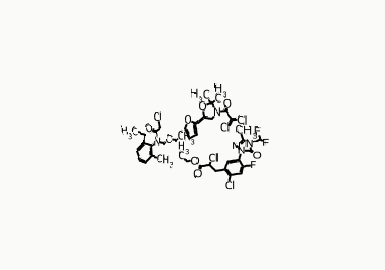 CC1(C)OC(c2ccco2)CN1C(=O)C(Cl)Cl.CCOC(=O)C(Cl)Cc1cc(-n2nc(C)n(C(F)F)c2=O)c(F)cc1Cl.CCOCN(C(=O)CCl)c1c(C)cccc1CC